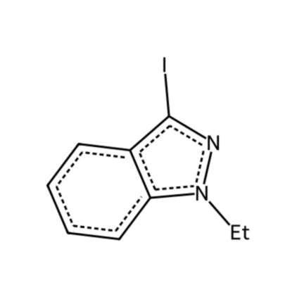 CCn1nc(I)c2ccccc21